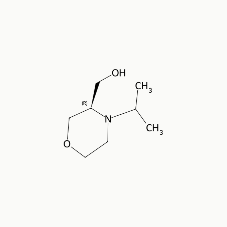 CC(C)N1CCOC[C@H]1CO